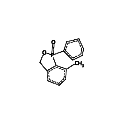 Cc1cccc2c1P(=O)(c1ccccc1)OC2